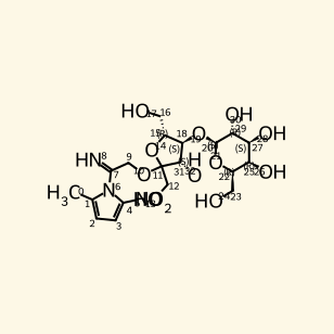 Cc1ccc([N+](=O)[O-])n1C(=N)COC1(CO)O[C@H](CO)[C@@H](O[C@@H]2O[C@H](CO)[C@H](O)[C@H](O)[C@H]2O)[C@@H]1O